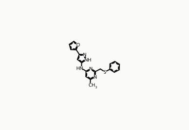 Cc1cc(Nc2cc(-c3ccco3)n[nH]2)nc(CSc2ccccc2)n1